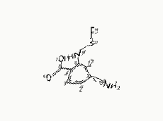 Nc1ccc(C(=O)O)c(NSF)c1